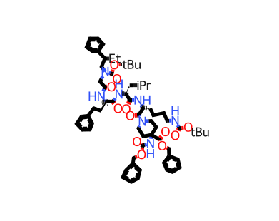 CCC(CN(CC(=O)N[C@H](CCc1ccccc1)C(=O)N[C@H](CC(C)C)C(=O)N[C@H](CCCCNC(=O)OC(C)(C)C)C(=O)N1CCC(NC(=O)OCc2ccccc2)(C(=O)OCc2ccccc2)CC1)C(=O)OC(C)(C)C)c1ccccc1